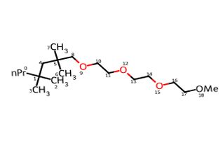 CCCC(C)(C)CC(C)(C)COCCOCCOCCOC